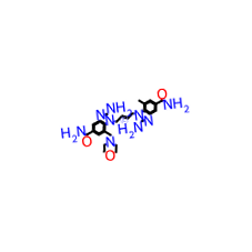 Cc1cc(C(N)=O)cc2nc(N)n(C/C=C/Cn3c(N)nc4cc(C(N)=O)cc(CN5CCOCC5)c43)c12